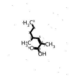 [CH2]CCC(C)C=C(C)C(=O)O